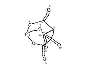 O=C1CC2C(=O)OB(O1)OS2(=O)=O